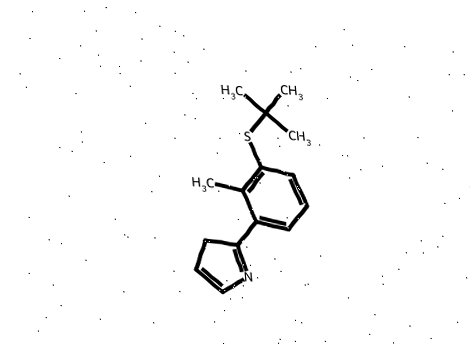 Cc1c(SC(C)(C)C)cccc1C1=NC=CC1